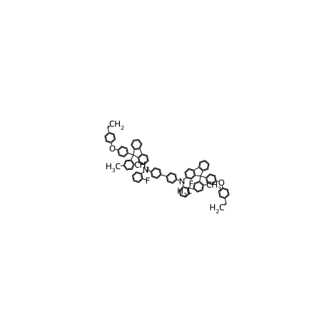 C=Cc1ccc(Oc2ccc(C3(c4cc(C)ccc4C)c4ccccc4-c4ccc(N(c5ccc(-c6ccc(N(c7ccc8c(c7)C(c7ccc(Oc9ccc(C=C)cc9)cc7)(c7cc(C)ccc7C)c7ccccc7-8)c7ccccc7F)cc6)cc5)c5ccccc5F)cc43)cc2)cc1